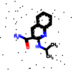 CC(C)Nc1nc2ccccc2cc1C(N)=O